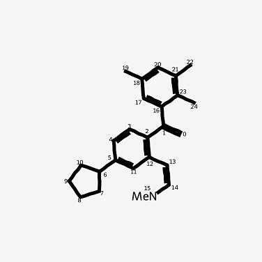 C=C(c1ccc(C2CCCC2)cc1/C=C\NC)c1cc(C)cc(C)c1C